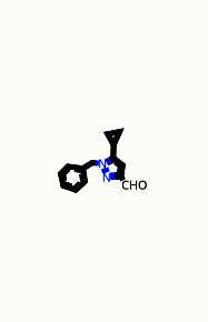 O=Cc1cc(C2CC2)n(Cc2ccccc2)n1